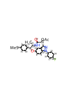 CSc1ccc([C@@H](Oc2ccc3c(cnn3-c3ccc(F)cc3)c2)[C@H](C)NC(=O)COC(C)=O)cc1